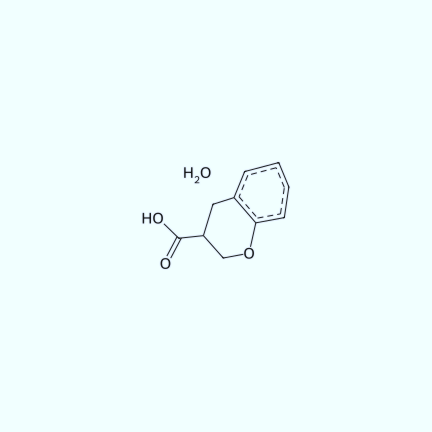 O.O=C(O)C1COc2ccccc2C1